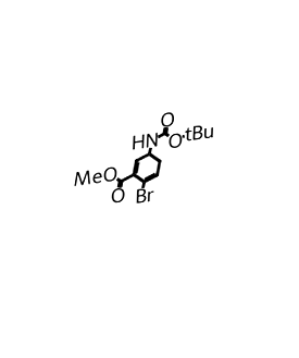 COC(=O)C1=CC(NC(=O)OC(C)(C)C)CC=C1Br